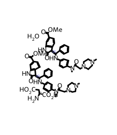 COC(=O)c1ccc2c(c1)NC(=O)/C2=C(\Nc1ccc(N(C)C(=O)CN2CCN(C)CC2)cc1)c1ccccc1.COC(=O)c1ccc2c(c1)NC(=O)/C2=C(\Nc1ccc(N(C)C(=O)CN2CCN(C)CC2)cc1)c1ccccc1.N[C@@H](CC(=O)O)C(=O)O.O